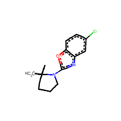 CC1(C(=O)O)CCCN1c1nc2cc(Cl)ccc2o1